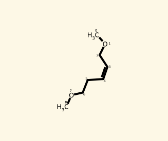 COC/C=C\CCOC